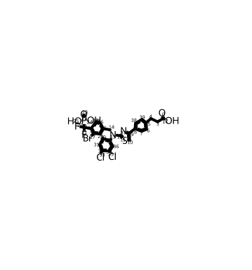 O=C(O)CCc1ccc(-c2csc(N(Cc3ccc(C(F)(F)P(=O)(O)O)c(Br)c3)c3ccc(Cl)c(Cl)c3)n2)cc1